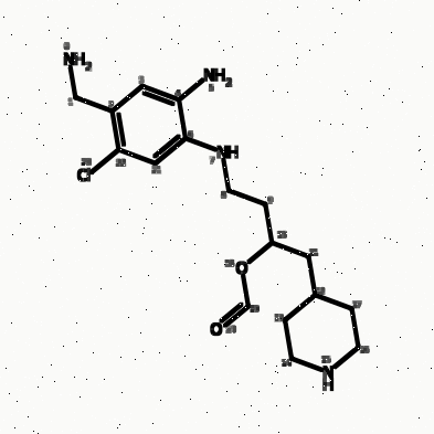 NCc1cc(N)c(NCCC(CC2CCNCC2)OC=O)cc1Cl